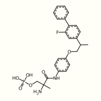 CC(COc1ccc(NC(=O)C(C)(N)COP(=O)(O)O)cc1)c1ccc(-c2ccccc2)c(F)c1